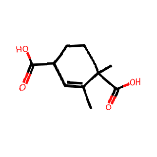 CC1=CC(C(=O)O)CCC1(C)C(=O)O